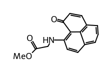 COC(=O)CNc1ccc2cccc3c2c1C(=O)C=C3